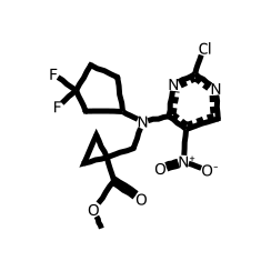 COC(=O)C1(CN(c2nc(Cl)ncc2[N+](=O)[O-])C2CCC(F)(F)C2)CC1